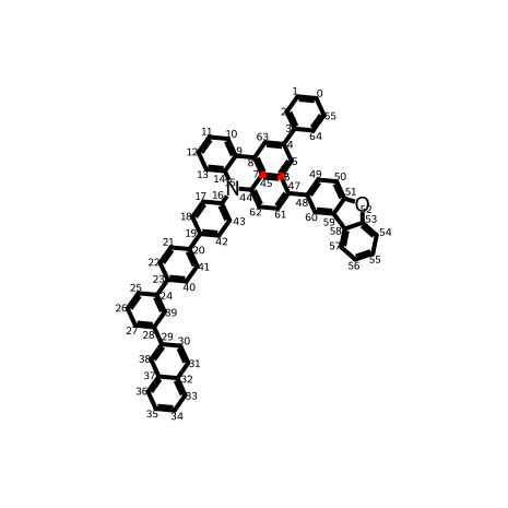 c1ccc(-c2cccc(-c3ccccc3N(c3ccc(-c4ccc(-c5cccc(-c6ccc7ccccc7c6)c5)cc4)cc3)c3ccc(-c4ccc5oc6ccccc6c5c4)cc3)c2)cc1